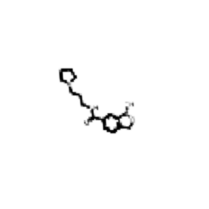 O=C(NCCCN1CCCC1)c1ccc2c(c1)B(O)OC2